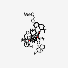 COCOc1cc(-c2nc3c4c(nc(OC[C@@]56CCCN5C[C@H](F)C6)nc4c2F)N2C[C@H]4CC[C@@H]([C@@H]2CCO3)N4C(=O)OC(C)(C)C)c2c(C#C[Si](C(C)C)(C(C)C)C(C)C)c(F)ccc2c1